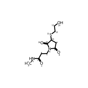 CNC(=O)CCN1C(=O)CC(SCCO)C1=O